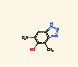 Cc1c(O)c([N+](=O)[O-])cc2[nH]nnc12